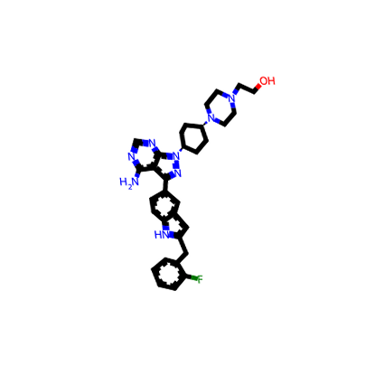 Nc1ncnc2c1c(-c1ccc3[nH]c(Cc4ccccc4F)cc3c1)nn2[C@H]1CC[C@@H](N2CCN(CCO)CC2)CC1